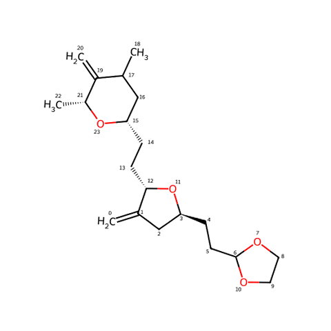 C=C1C[C@H](CCC2OCCO2)O[C@H]1CC[C@H]1CC(C)C(=C)[C@@H](C)O1